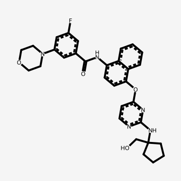 O=C(Nc1ccc(Oc2ccnc(NC3(CO)CCCC3)n2)c2ccccc12)c1cc(F)cc(N2CCOCC2)c1